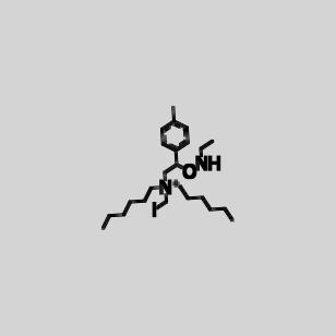 CCCCCC[N+](CI)(CCCCCC)CC(ONCC)c1ccc(C)cc1